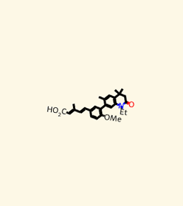 CCN1C(=O)CC(C)(C)c2cc(C)c(-c3cc(/C=C/C(C)=C/C(=O)O)ccc3OC)cc21